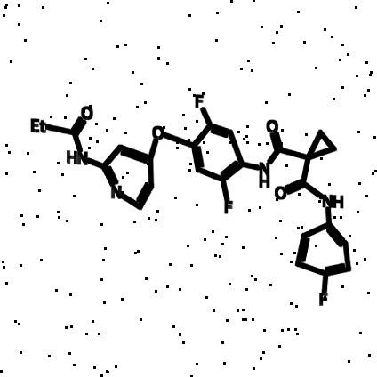 CCC(=O)Nc1cc(Oc2cc(F)c(NC(=O)C3(C(=O)Nc4ccc(F)cc4)CC3)cc2F)ccn1